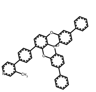 Cc1cnccc1-c1ccc(-c2ccc3c4c2Oc2cc(-c5ccccc5)ccc2P4(=O)c2ccc(-c4ccccc4)cc2O3)cc1